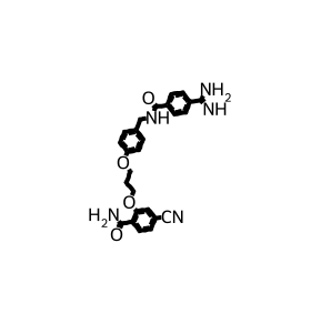 N#Cc1ccc(C(N)=O)c(OCCCOc2ccc(CNC(=O)c3ccc(C(=N)N)cc3)cc2)c1